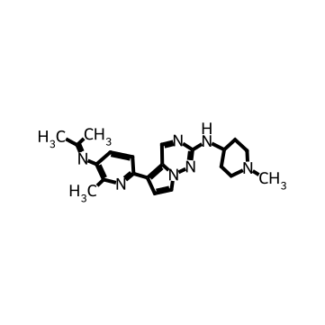 CC(C)=Nc1ccc(-c2ccn3nc(NC4CCN(C)CC4)ncc23)nc1C